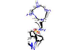 CN(C)c1cccc2c(S(=O)(=O)NCCN3CCNCCNCCNCC3)cccc12